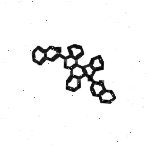 C1=Cc2ccc(-n3c4ccccc4c4c5c6ccccc6c(-c6cc7ccccc7cn6)cc5c5ccccc5c43)nc2CC1